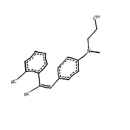 CN(CCO)c1ccc(C=C(C#N)c2ccccc2C#N)cc1